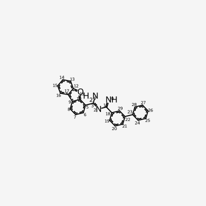 N=C(/N=C(\N)c1cccc2c1oc1ccccc12)c1cccc(-c2ccccc2)c1